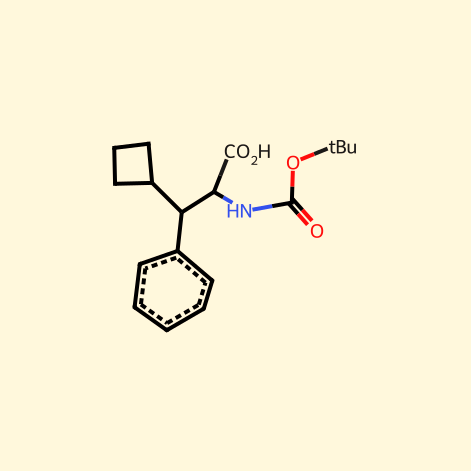 CC(C)(C)OC(=O)NC(C(=O)O)C(c1ccccc1)C1CCC1